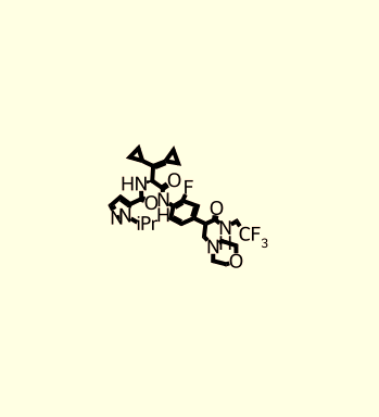 CC(C)n1nccc1C(=O)N[C@H](C(=O)Nc1ccc(C(CN2CCOCC2)C(=O)NCC(F)(F)F)cc1F)C(=C1CC1)C1CC1